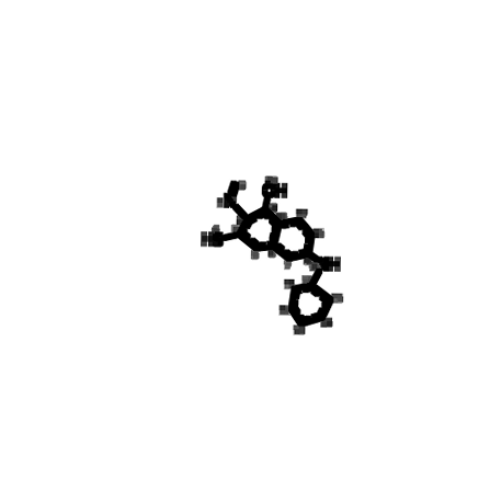 C=Nc1c(S)cc2cc(Nc3ccccc3)ccc2c1O